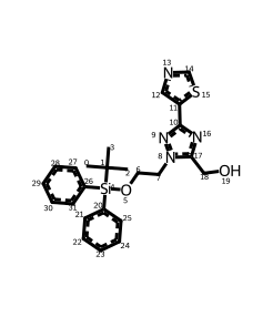 CC(C)(C)[Si](OCCn1nc(-c2cncs2)nc1CO)(c1ccccc1)c1ccccc1